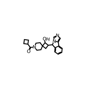 O=C(C1CCC1)N1CCC2(CC1)CC(C1c3ccccc3-c3cncn31)C2O